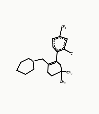 CC1(C)CCC(CN2CCCCC2)=C(c2ccc(C(F)(F)F)cc2Cl)C1